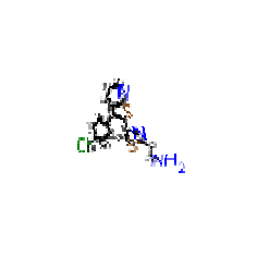 NCCc1nc(-c2sc3ncccc3c2-c2ccc(Cl)cc2)cs1